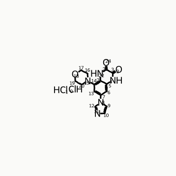 Cl.Cl.O=c1[nH]c2cc(-n3ccnc3)cc(N3CCOCC3)c2[nH]c1=O